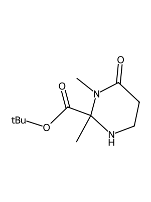 CN1C(=O)CCNC1(C)C(=O)OC(C)(C)C